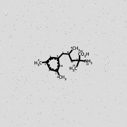 Cc1cc(C)cc(CC(C)CC(C)(N)C(=O)O)c1